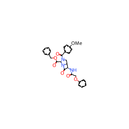 COc1ccc(C(=O)N2CC3[C@@H](NC(=O)COc4ccccc4)C(=O)N3C2C(=O)OCc2ccccc2)cc1